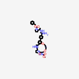 C=C(N/C=C(\N)c1ccc(-c2ccc3c(c2)OC/C=C\COCC(NC(=O)OC)C(=O)N2CCCC2c2nc-3c[nH]2)cc1)C1CCCN1C(=O)OCc1ccccc1